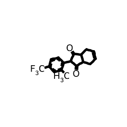 Cc1cc(C(F)(F)F)ccc1C1C(=O)C2CC=CCC2C1=O